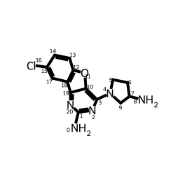 Nc1nc(N2CCC(N)C2)c2oc3ccc(Cl)cc3c2n1